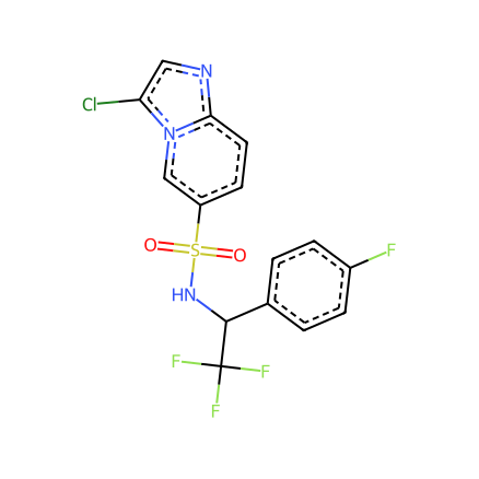 O=S(=O)(NC(c1ccc(F)cc1)C(F)(F)F)c1ccc2ncc(Cl)n2c1